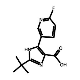 CC(C)(C)c1nc(C(=O)O)c(-c2ccc(F)nc2)[nH]1